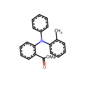 COC(=O)c1ccccc1N(c1ccccc1)c1ccccc1C